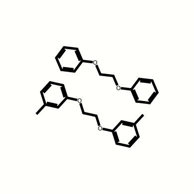 Cc1cccc(OCCOc2cccc(C)c2)c1.c1ccc(OCCOc2ccccc2)cc1